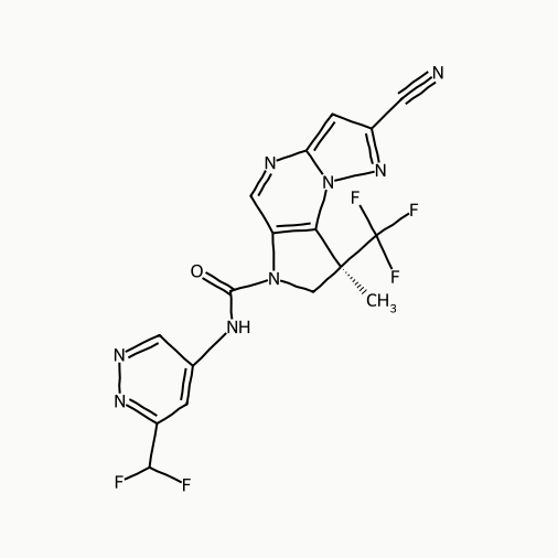 C[C@]1(C(F)(F)F)CN(C(=O)Nc2cnnc(C(F)F)c2)c2cnc3cc(C#N)nn3c21